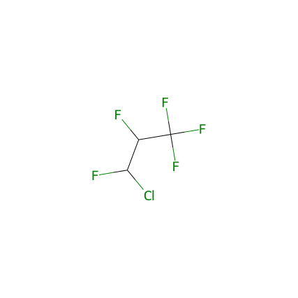 FC(Cl)C(F)C(F)(F)F